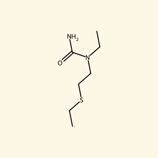 [CH2]CSCCN(CC)C(N)=O